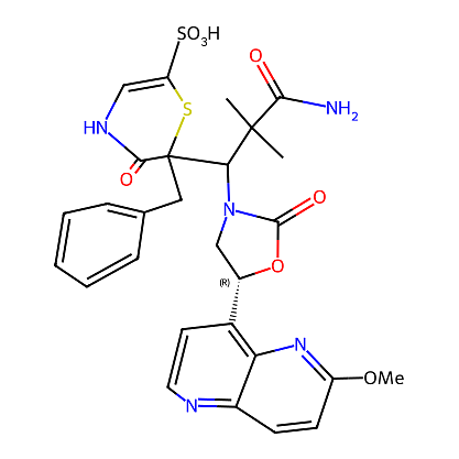 COc1ccc2nccc([C@@H]3CN(C(C(C)(C)C(N)=O)C4(Cc5ccccc5)SC(S(=O)(=O)O)=CNC4=O)C(=O)O3)c2n1